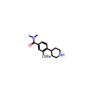 COc1cc(C(=O)N(C)C)ccc1C1CCNCC1